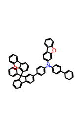 C1=CCCC(c2ccc(N(c3ccc(-c4ccc5c(c4)C(c4ccccc4)(c4cccc6c4oc4ccccc46)c4ccccc4-5)cc3)c3ccc4c(c3)oc3ccccc34)cc2)=C1